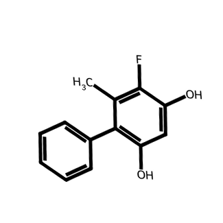 Cc1c(F)c(O)cc(O)c1-c1ccccc1